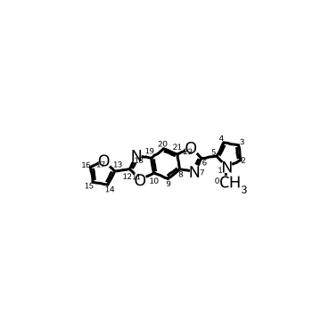 Cn1cccc1-c1nc2cc3oc(-c4ccco4)nc3cc2o1